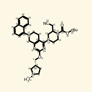 CN1CC[C@@H](COc2nc3c(c(N4CCN(C(=O)OC(C)(C)C)C(CC#N)C4)n2)CCN(c2cccc4ccccc24)C3)C1